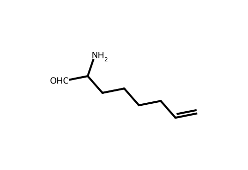 C=CCCCCC(N)C=O